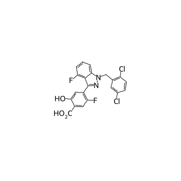 O=C(O)c1cc(F)c(-c2nn(Cc3cc(Cl)ccc3Cl)c3cccc(F)c23)cc1O